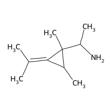 CC(C)=C1C(C)C1(C)C(C)N